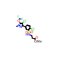 COC(=O)CCNS(=O)(=O)c1cc(-c2nn(C)c(OC(F)F)c2Cl)ccc1Cl